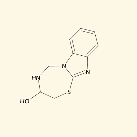 OC1CSc2nc3ccccc3n2CN1